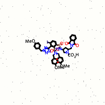 COc1ccc(CN(Cc2ccc(OC)cc2)S(=O)(=O)c2c([S+]([O-])NC3CC(CN4C(=O)c5ccccc5C4=O)N(C(=O)O)C3)ccc(I)c2-c2nnn(Cc3ccc(OC)cc3)n2)cc1